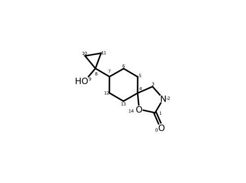 O=C1[N]CC2(CCC(C3(O)CC3)CC2)O1